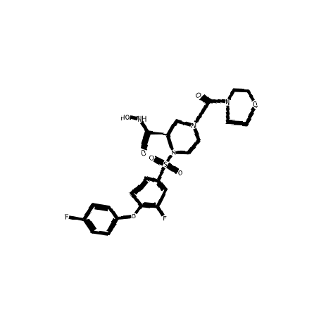 O=C(NO)[C@H]1CN(C(=O)N2CCOCC2)CCN1S(=O)(=O)c1ccc(Oc2ccc(F)cc2)c(F)c1